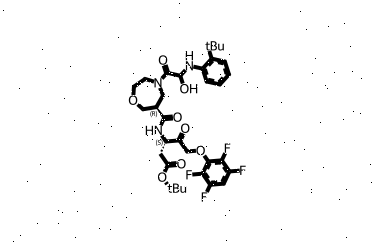 CC(C)(C)OC(=O)C[C@H](NC(=O)[C@H]1COCCN(C(=O)C(O)Nc2ccccc2C(C)(C)C)C1)C(=O)COc1c(F)c(F)cc(F)c1F